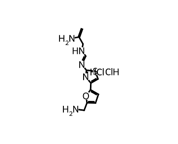 C=C(N)CNC=Nc1nc(-c2ccc(CN)o2)cs1.Cl.Cl